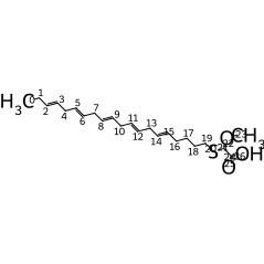 CCC=CCC=CCC=CCC=CCC=CCCCCSC(OC)C(=O)O